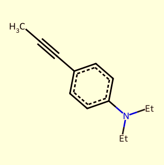 CC#Cc1ccc(N(CC)CC)cc1